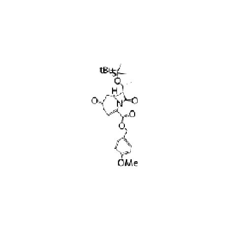 COc1ccc(COC(=O)C2=CCC(=O)C[C@@H]3[C@@H]([C@@H](C)O[Si](C)(C)C(C)(C)C)C(=O)N23)cc1